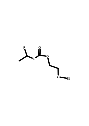 CCOCCOC(=O)OC(C)F